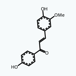 COc1cc(/C=C/C(=O)c2ccc(O)cc2)ccc1O